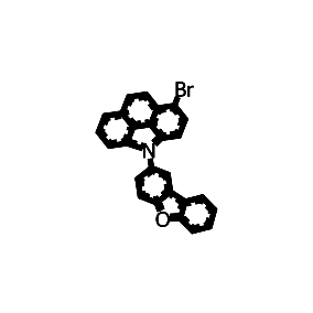 Brc1ccc2c3c1ccc1cccc(c13)n2-c1ccc2oc3ccccc3c2c1